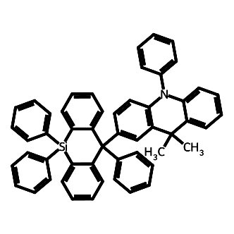 CC1(C)c2ccccc2N(c2ccccc2)c2ccc(C3(c4ccccc4)c4ccccc4[Si](c4ccccc4)(c4ccccc4)c4ccccc43)cc21